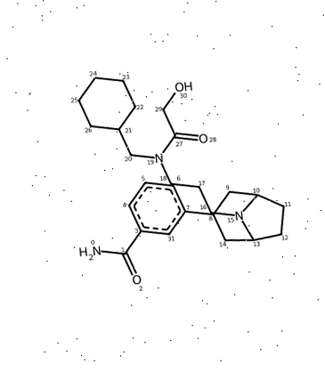 NC(=O)c1cccc(C2CC3CCC(C2)N3CCCN(CC2CCCCC2)C(=O)CO)c1